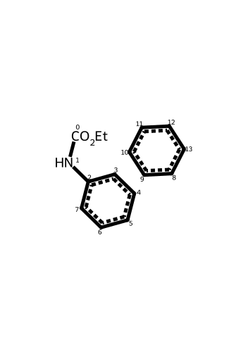 CCOC(=O)Nc1ccccc1.c1ccccc1